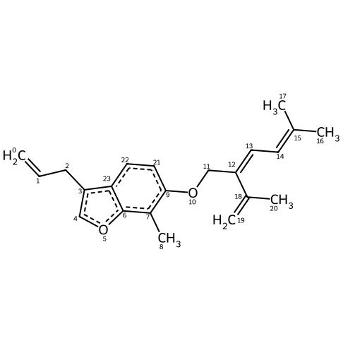 C=CCc1coc2c(C)c(OC/C(=C/C=C(C)C)C(=C)C)ccc12